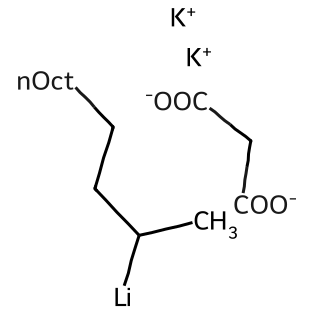 O=C([O-])CC(=O)[O-].[K+].[K+].[Li][CH](C)CCCCCCCCCC